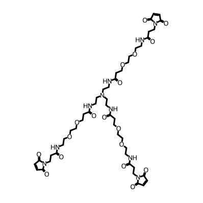 O=C(CCOCCOCCNC(=O)CCN1C(=O)C=CC1=O)NCCN(CCNC(=O)CCOCCOCCNC(=O)CCN1C(=O)C=CC1=O)CCNC(=O)CCOCCOCCNC(=O)CCN1C(=O)C=CC1=O